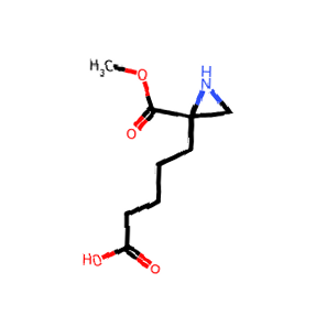 COC(=O)C1(CCCCC(=O)O)CN1